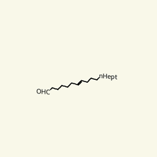 CCCCCCCCCCC=CCCCCCC=O